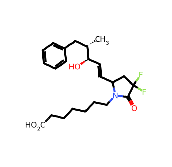 C[C@@H](Cc1ccccc1)[C@H](O)C=CC1CC(F)(F)C(=O)N1CCCCCCC(=O)O